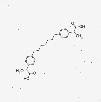 CC(C(=O)O)c1ccc(CCCCCCCc2ccc(C(C)C(=O)O)cc2)cc1